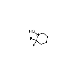 ON1CCCCC1(F)F